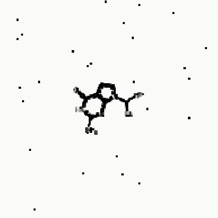 CCCC(CC)n1ccc2c(=O)[nH]c(N)nc21